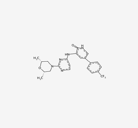 C[C@@H]1CN(c2nccc(Nc3cc(-c4ccc(C(F)(F)F)cc4)c[nH]c3=O)n2)C[C@H](C)O1